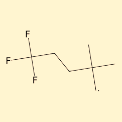 [CH2]C(C)(C)CCC(F)(F)F